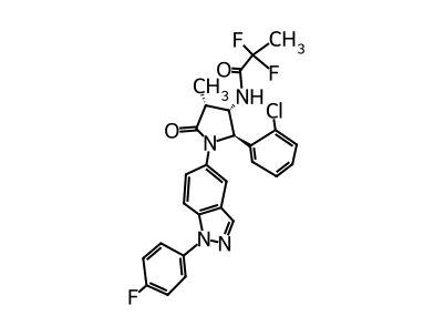 C[C@H]1C(=O)N(c2ccc3c(cnn3-c3ccc(F)cc3)c2)[C@H](c2ccccc2Cl)[C@H]1NC(=O)C(C)(F)F